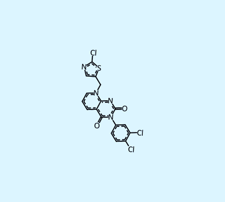 O=c1nc2n(Cc3cnc(Cl)s3)cccc-2c(=O)n1-c1ccc(Cl)c(Cl)c1